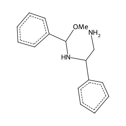 COC(NC(CN)c1ccccc1)c1ccccc1